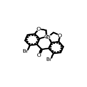 O=C(c1c(Br)ccc2c1OCO2)c1c(Br)ccc2c1OCO2